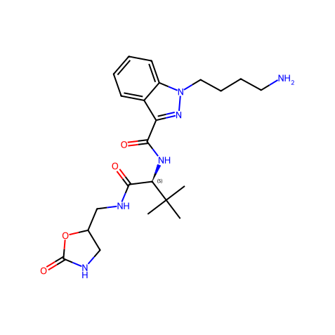 CC(C)(C)[C@H](NC(=O)c1nn(CCCCN)c2ccccc12)C(=O)NCC1CNC(=O)O1